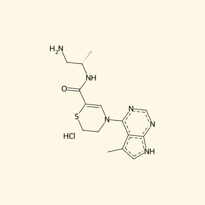 Cc1c[nH]c2ncnc(N3C=C(C(=O)N[C@@H](C)CN)SCC3)c12.Cl